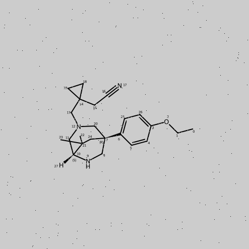 CCOc1ccc([C@]23CN[C@H](CN(CC4(CC#N)CC4)C2)C(C)(C)C3)cc1